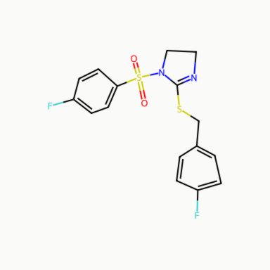 O=S(=O)(c1ccc(F)cc1)N1CCN=C1SCc1ccc(F)cc1